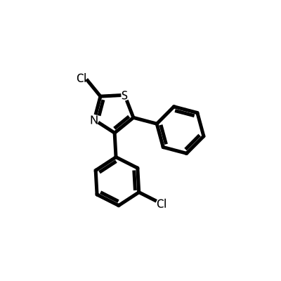 Clc1cccc(-c2nc(Cl)sc2-c2ccccc2)c1